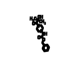 CC(C)(O)C(=O)N1CCN(NC(=O)OCc2ccccc2)CC1